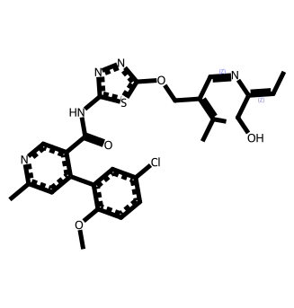 C/C=C(CO)\N=C/C(COc1nnc(NC(=O)c2cnc(C)cc2-c2cc(Cl)ccc2OC)s1)=C(C)C